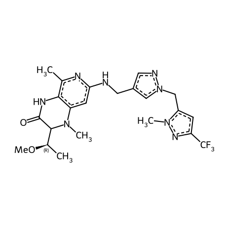 CO[C@H](C)C1C(=O)Nc2c(cc(NCc3cnn(Cc4cc(C(F)(F)F)nn4C)c3)nc2C)N1C